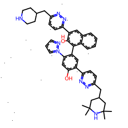 CC1(C)CC(Cc2ccc(-c3cc(-c4c(O)c(-c5ccc(CC6CCNCC6)nn5)cc5ccccc45)c(-n4cccn4)cc3O)nn2)CC(C)(C)N1